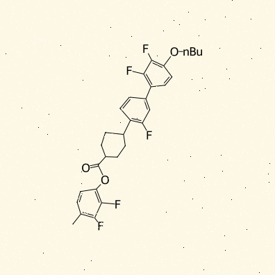 CCCCOc1ccc(-c2ccc(C3CCC(C(=O)Oc4ccc(C)c(F)c4F)CC3)c(F)c2)c(F)c1F